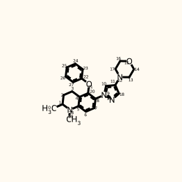 CC1CCc2c(ccc(-n3cc(N4CCOCC4)cn3)c2Oc2ccccc2)N1C